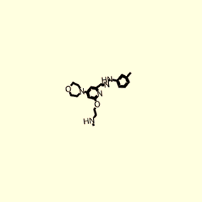 CNCCOc1cc(N2CCOCC2)cc(C=NNc2cccc(C)c2)n1